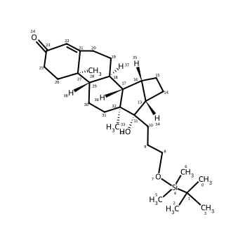 CC(C)(C)[Si](C)(C)OCCC[C@]1(O)[C@H]2CC[C@H]2[C@H]2[C@@H]3CCC4=CC(=O)CC[C@]4(C)[C@H]3CC[C@@]21C